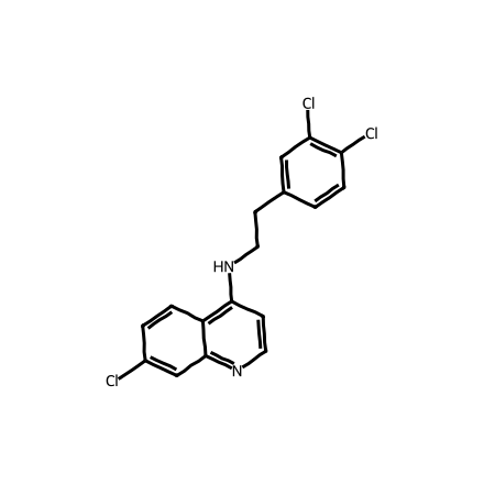 Clc1ccc2c(NCCc3ccc(Cl)c(Cl)c3)ccnc2c1